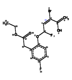 C=C(O)/C(Br)=C\C(F)Oc1ccc(F)cc1CC(=O)OCC